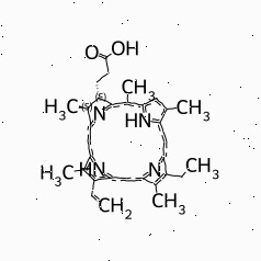 C=Cc1c(C)c2cc3nc(c(C)c4cc(C)c(cc5nc(cc1[nH]2)C(C)=C5CC)[nH]4)[C@@H](CCC(=O)O)[C@@H]3C